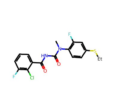 CCSc1ccc(N(C)C(=O)NC(=O)c2cccc(F)c2Cl)c(F)c1